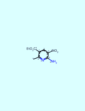 CCOC(=O)c1cc([N+](=O)[O-])c(N)nc1C